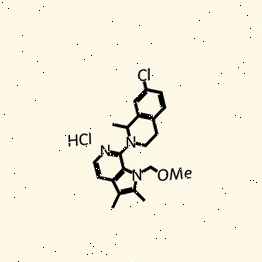 COCn1c(C)c(C)c2ccnc(N3CCc4ccc(Cl)cc4C3C)c21.Cl